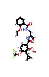 CCOc1ccccc1C(=O)NCc1coc(-c2ccc(OC(F)F)c(C3CC3)c2OC)n1